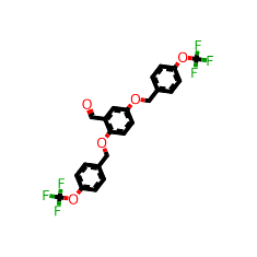 O=Cc1cc(OCc2ccc(OC(F)(F)F)cc2)ccc1OCc1ccc(OC(F)(F)F)cc1